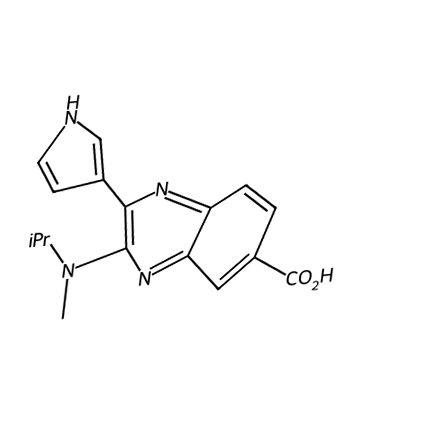 CC(C)N(C)c1nc2cc(C(=O)O)ccc2nc1-c1cc[nH]c1